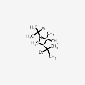 CCC(C)(C)N1[SiH2]N(C(C)(C)CC)S1(C)C